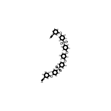 C#Cc1cccc(Oc2ccc(S(=O)(=O)c3ccc(Oc4cccc(Oc5ccc(S(=O)(=O)c6ccc(Oc7cccc(C#C)c7)cc6)cc5)c4)cc3)cc2)c1